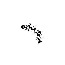 CN1/C(=C\C=C(/C=O)Nc2cc(NC(=O)C3CC3)ncn2)C(=O)NC1(C)C1CCCC1